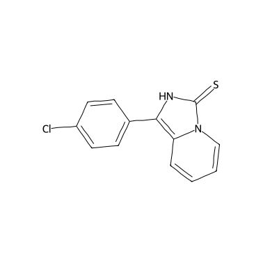 S=c1[nH]c(-c2ccc(Cl)cc2)c2ccccn12